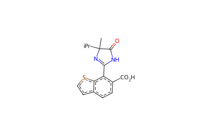 CC(C)C1(C)N=C(c2c(C(=O)O)ccc3ccsc23)NC1=O